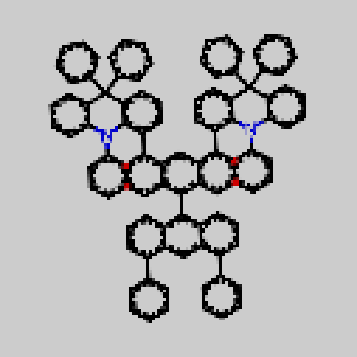 c1ccc(-c2cccc3c(-c4c5cccc(-c6cccc7c6N(c6ccccc6)c6ccccc6C7(c6ccccc6)c6ccccc6)c5cc5c(-c6cccc7c6N(c6ccccc6)c6ccccc6C7(c6ccccc6)c6ccccc6)cccc45)c4cccc(-c5ccccc5)c4cc23)cc1